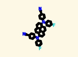 N#Cc1ccc(N(c2ccc(F)cc2)c2ccc3ccc4c(N(c5ccc(F)cc5)c5ccc(C#N)cc5)ccc5ccc2c3c54)cc1